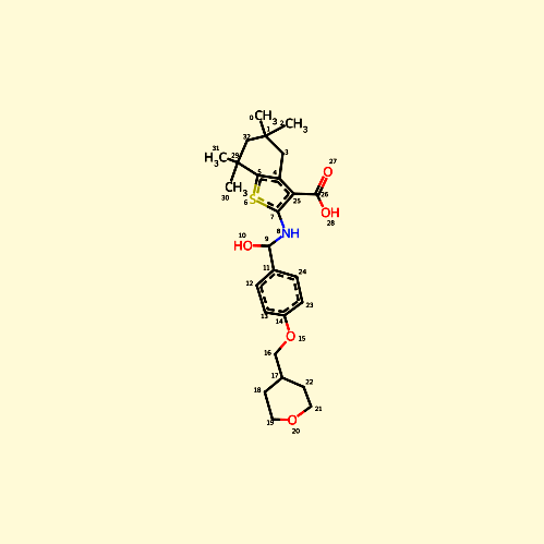 CC1(C)Cc2c(sc(NC(O)c3ccc(OCC4CCOCC4)cc3)c2C(=O)O)C(C)(C)C1